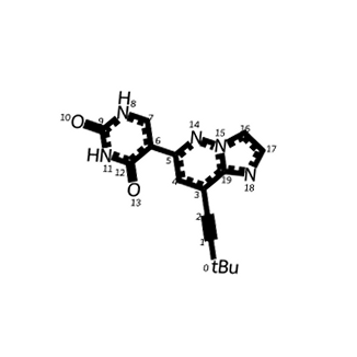 CC(C)(C)C#Cc1cc(-c2c[nH]c(=O)[nH]c2=O)nn2ccnc12